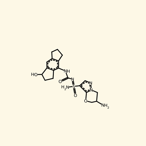 NC1COc2c(S(N)(=O)=NC(=O)Nc3c4c(cc5c3CCC5O)CCC4)cnn2C1